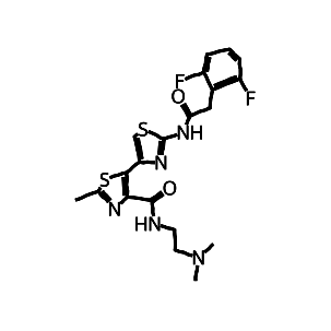 Cc1nc(C(=O)NCCN(C)C)c(-c2csc(NC(=O)Cc3c(F)cccc3F)n2)s1